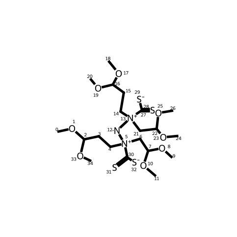 COC(CC[N+](CC(OC)OC)([N][N+](CCC(OC)OC)(CC(OC)OC)C(=S)[S-])C(=S)[S-])OC